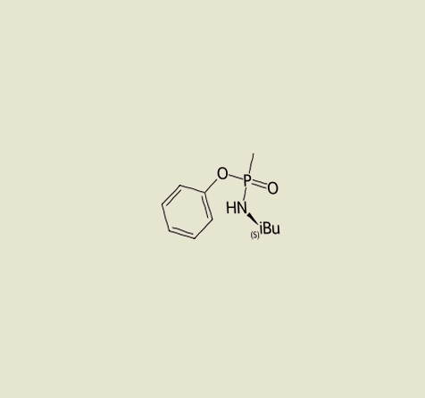 CC[C@H](C)NP(C)(=O)Oc1ccccc1